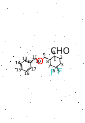 O=C[C@@H]1CCC(F)(F)C[C@H]1COCc1ccccc1